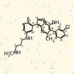 CNCCCNc1ccc(F)c(-c2cnn3c(N)c(-c4cccc(Cl)c4)c(C)nc23)c1